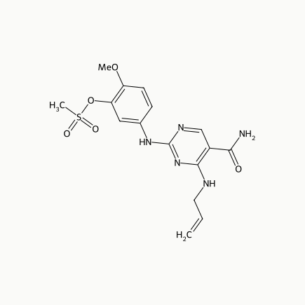 C=CCNc1nc(Nc2ccc(OC)c(OS(C)(=O)=O)c2)ncc1C(N)=O